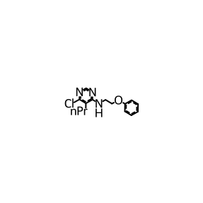 CCCc1c(Cl)ncnc1NCCOc1ccccc1